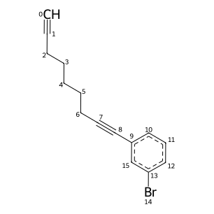 C#CCCCCCC#Cc1cccc(Br)c1